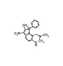 Cc1c([N+](=O)[O-])c2ccc(O)c(CN(C)C)c2n1-c1ccccc1